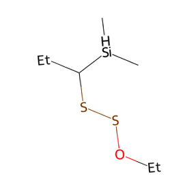 CCOSSC(CC)[SiH](C)C